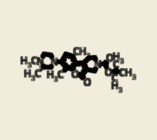 Cc1c(N2CCN(C)[C@@H](C)C2)cc(C)c2c3c(c(=O)oc12)CN(C(=O)OC(C)(C)C)CC3